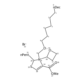 CCCCCCCCCCCCCCCCOC[N+]1(C2CCO2)C(C(=O)OC)=CSC1CCCCC.[Br-]